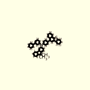 CC1(C)c2ccccc2-c2cc(N(c3ccc(-c4cc5c6ccccc6sc5c5ccccc45)cc3)c3cccc(-c4ccccc4)c3)ccc21